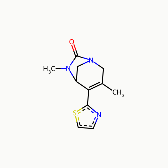 CC1=C(c2nccs2)C2CN(C1)C(=O)N2C